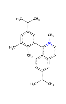 Cc1cc(C(C)C)cc(-c2c3ccc(C(C)C)cc3cc[n+]2C)c1C